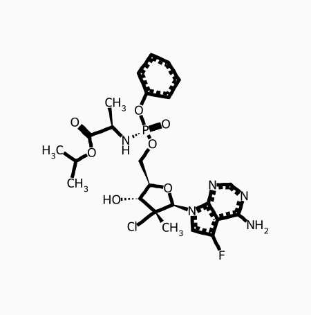 CC(C)OC(=O)[C@@H](C)N[P@](=O)(OC[C@H]1O[C@@H](n2cc(F)c3c(N)ncnc32)[C@](C)(Cl)[C@@H]1O)Oc1ccccc1